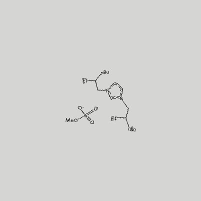 CCCCC(CC)Cn1cc[n+](CC(CC)CCCC)c1.COS(=O)(=O)[O-]